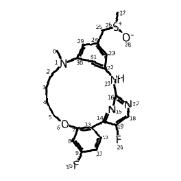 CN1CCCCOc2cc(F)ccc2-c2nc(ncc2F)Nc2cc(C[S+](C)[O-])cc1c2